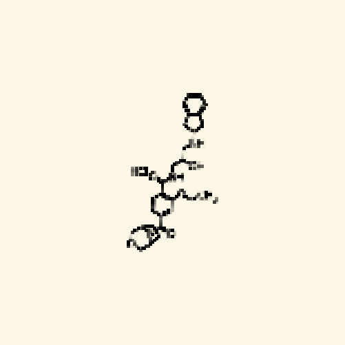 CCOc1cc(C(=O)N2C3CCC2COC3)ccc1C(=O)NCC(O)CNC1Cc2ccccc2C1.Cl